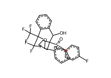 O=S(=O)(c1ccc(F)cc1)C1(C(O)c2ccccc2C(OCc2ccccc2)(C(F)(F)F)C(F)(F)F)CCC1